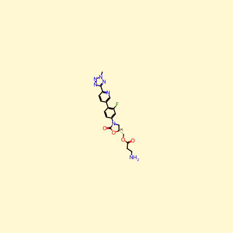 Cn1nnc(-c2ccc(-c3ccc(N4C[C@H](COC(=O)CCN)OC4=O)cc3F)cn2)n1